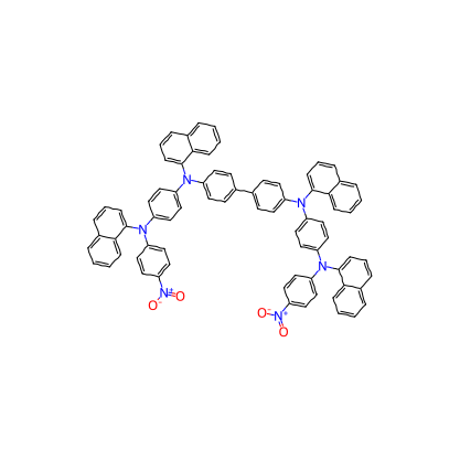 O=[N+]([O-])c1ccc(N(c2ccc(N(c3ccc(-c4ccc(N(c5ccc(N(c6ccc([N+](=O)[O-])cc6)c6cccc7ccccc67)cc5)c5cccc6ccccc56)cc4)cc3)c3cccc4ccccc34)cc2)c2cccc3ccccc23)cc1